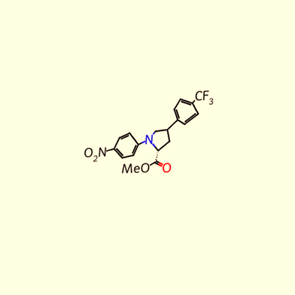 COC(=O)[C@H]1CC(c2ccc(C(F)(F)F)cc2)CN1c1ccc([N+](=O)[O-])cc1